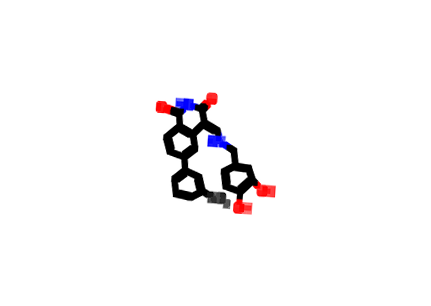 O=C1NC(=O)c2ccc(-c3cccc([N+](=O)[O-])c3)cc2/C1=C\NCc1ccc(O)c(O)c1